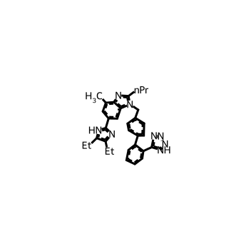 CCCc1nc2c(C)cc(-c3nc(CC)c(CC)[nH]3)cc2n1Cc1ccc(-c2ccccc2-c2nnn[nH]2)cc1